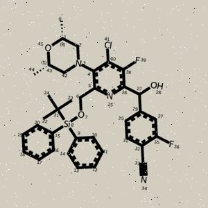 C[C@@H]1CN(c2c(CO[Si](c3ccccc3)(c3ccccc3)C(C)(C)C)nc(C(O)c3ccc(C#N)c(F)c3)c(F)c2Cl)C[C@H](C)O1